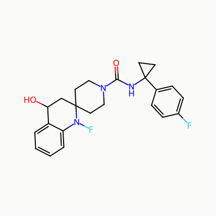 O=C(NC1(c2ccc(F)cc2)CC1)N1CCC2(CC1)CC(O)c1ccccc1N2F